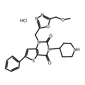 COCc1nnc(Cn2c(=O)n(C3CCNCC3)c(=O)c3sc(-c4ccccc4)cc32)o1.Cl